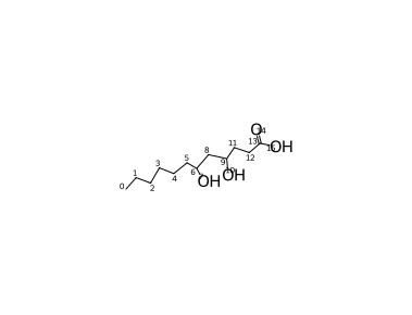 CCCCCCC(O)CC(O)CCC(=O)O